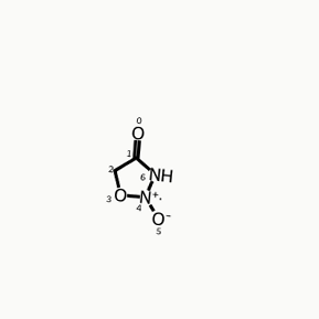 O=C1CO[N+]([O-])N1